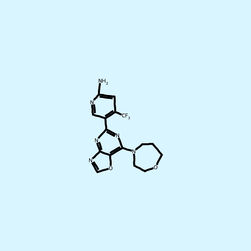 Nc1cc(C(F)(F)F)c(-c2nc(N3CCCOCC3)c3ocnc3n2)cn1